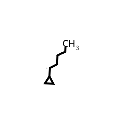 CCCC[CH]C1CC1